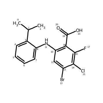 CC(C)c1ccccc1Nc1cc(Br)c(Cl)c(F)c1C(=O)O